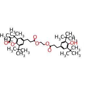 C=CC(=O)Oc1c(C(C)(C)C)cc(CCC(=O)OCCOC(=O)CCc2cc(C(C)(C)C)c(O)c(C(C)(C)C)c2)cc1C(C)(C)C